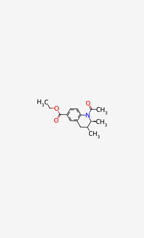 CCOC(=O)c1ccc2c(c1)CC(C)[C@H](C)N2C(C)=O